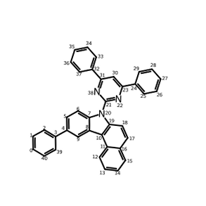 c1ccc(-c2ccc3c(c2)c2c4ccccc4ccc2n3-c2nc(-c3ccccc3)cc(-c3ccccc3)n2)cc1